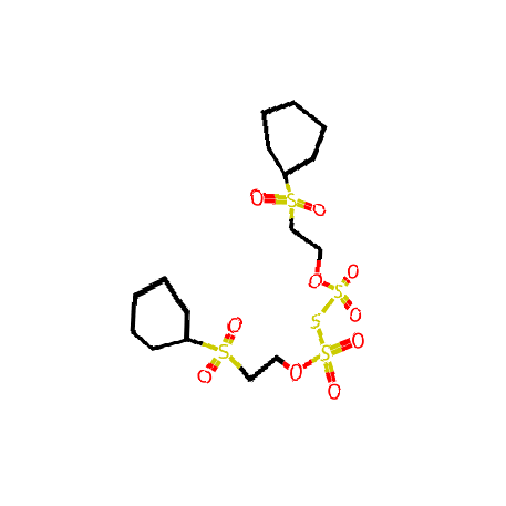 O=S(=O)(OCCS(=O)(=O)C1CCCCC1)SS(=O)(=O)OCCS(=O)(=O)C1CCCCC1